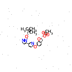 C[Si](C)(C)CCOCn1nccc1-c1ccc(Oc2ccc3c(c2)O[C@H](COS(C)(=O)=O)C3)nc1